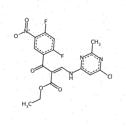 CCOC(=O)/C(=C\Nc1cc(Cl)nc(C)n1)C(=O)c1cc([N+](=O)[O-])c(F)cc1F